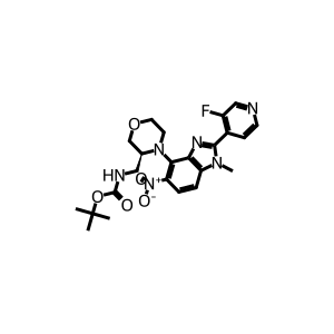 Cn1c(-c2ccncc2F)nc2c(N3CCOC[C@@H]3CNC(=O)OC(C)(C)C)c([N+](=O)[O-])ccc21